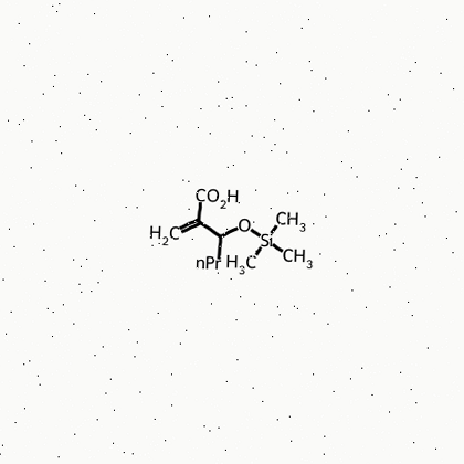 C=C(C(=O)O)C(CCC)O[Si](C)(C)C